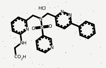 Cl.O=C(O)CNc1cccc(CN(Cc2ccc(-c3ccccc3)nn2)S(=O)(=O)c2cccnc2)n1